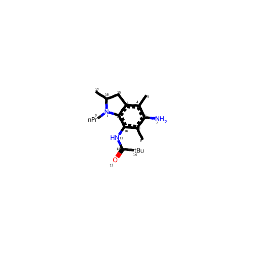 CCCN1c2c(c(C)c(N)c(C)c2NC(=O)C(C)(C)C)CC1C